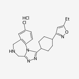 CCc1cc(C2CCC(c3nnc4n3-c3ccc(Cl)cc3CNC4)CC2)no1.Cl